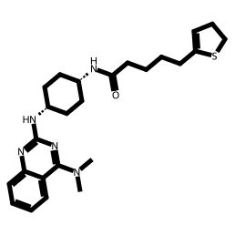 CN(C)c1nc(N[C@H]2CC[C@@H](NC(=O)CCCCC3=CCCS3)CC2)nc2ccccc12